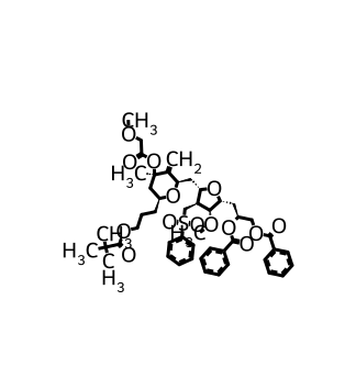 C=C1[C@@H](C[C@@H]2O[C@H](C[C@@H](COC(=O)c3ccccc3)OC(=O)c3ccccc3)[C@H](OC)[C@H]2CS(=O)(=O)c2ccccc2)O[C@@H](CCCOC(=O)C(C)(C)C)C[C@@]1(C)OC(=O)COC